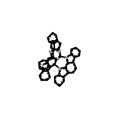 c1ccc(-c2cc(-n3c4ccccc4c4ccc5c6ccccc6n(-c6nc(-c7ccccc7)nc(-c7ccccc7)n6)c5c43)c3c(c2)oc2ccccc23)cc1